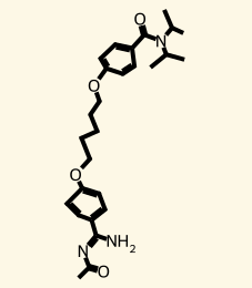 CC(=O)/N=C(\N)c1ccc(OCCCCCOc2ccc(C(=O)N(C(C)C)C(C)C)cc2)cc1